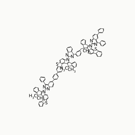 CC1(C)c2ccccc2-c2c1c1c3c(ccc1n2-c1nc(-c2cccc(CC4(C)c5ccccc5-c5c4c4ccc6c7ccccc7sc6c4n5-c4nc(-c5ccccc5)c5cc(-c6ccccc6)ccc5n4)c2)c2ccccc2n1)sc1cc(-c2ccc(-c4ccc5nc(-n6c7c(c8c9c(ccc86)sc6ccccc69)C(C)(C)c6ccccc6-7)nc(-c6ccccc6)c5c4)cc2)ccc13